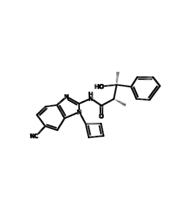 C[C@H](C(=O)Nc1nc2ccc(C#N)cc2n1C1=CC=C1)[C@@](C)(O)c1ccccc1